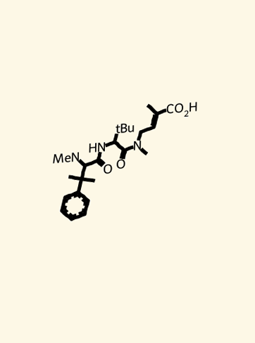 CNC(C(=O)NC(C(=O)N(C)C/C=C(\C)C(=O)O)C(C)(C)C)C(C)(C)c1ccccc1